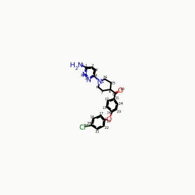 Nc1ccc(N2CCC(C(=O)c3ccc(Oc4ccc(Cl)cc4)cc3)CC2)nn1